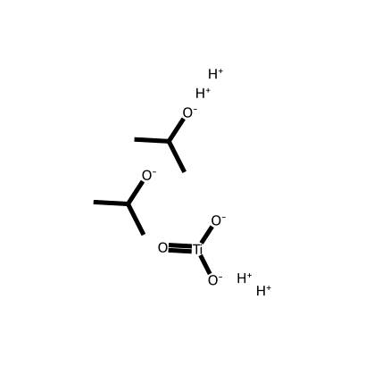 CC(C)[O-].CC(C)[O-].[H+].[H+].[H+].[H+].[O]=[Ti]([O-])[O-]